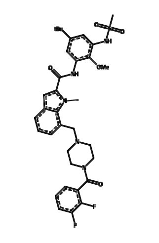 COc1c(NC(=O)c2cc3cccc(CN4CCN(C(=O)c5cccc(F)c5F)CC4)c3n2C)cc(C(C)(C)C)cc1NS(C)(=O)=O